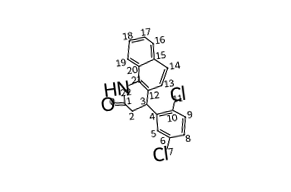 O=C1CC(c2cc(Cl)ccc2Cl)c2ccc3ccccc3c2N1